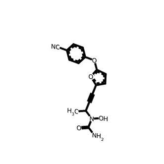 CC(C#Cc1ccc(Oc2ccc(C#N)cc2)o1)N(O)C(N)=O